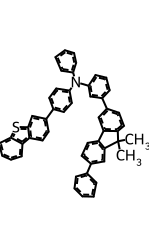 CC1(C)c2ccc(-c3cccc(N(c4ccccc4)c4ccc(-c5ccc6c(c5)sc5ccccc56)cc4)c3)cc2-c2ccc(-c3ccccc3)cc21